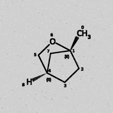 C[C@]12CC[C@@H](CO1)C2